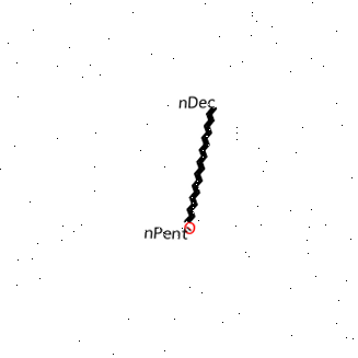 CCCCCCCCCCCCCCCCCCCCCCCCCCCCCCOCCCCC